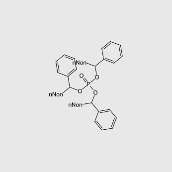 CCCCCCCCCC(OP(=O)(OC(CCCCCCCCC)c1ccccc1)OC(CCCCCCCCC)c1ccccc1)c1ccccc1